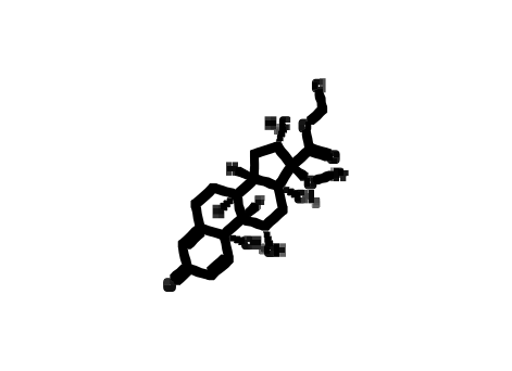 CC(C)O[C@]1(C(=O)OCCl)[C@@H](C)C[C@H]2[C@@H]3CCC4=CC(=O)C=C[C@]4(C)[C@@]3(F)[C@@H](O)C[C@@]21C